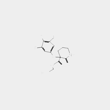 CCOC(=O)C1(Oc2cc(F)c(F)c(F)c2)CCCNC1=S